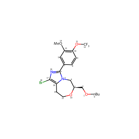 CCCCOC[C@@H]1Cn2c(-c3ccc(OC(F)(F)F)c(OC)c3)nc(Br)c2CCO1